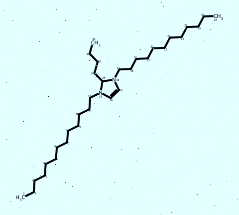 CCCCCCCCCCCCCN1C=CN(CCCCCCCCCCCC)C1CCCC